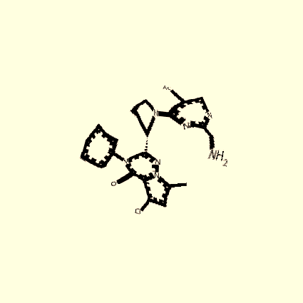 CC(=O)c1cnc(N)nc1N1CC[C@H]1c1nn2c(C)cc(Cl)c2c(=O)n1-c1ccccc1